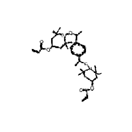 C=CC(=O)OC1CC(C)(C)N(OC(C)c2ccc(C(C)ON3C(C)(C)CC(OC(=O)C=C)CC3(C)C)cc2)C(C)(C)C1